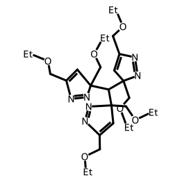 CCOCC1=CC(COCC)(C(C2(COCC)C=C(COCC)N=N2)C2(COCC)C=C(COCC)N=N2)N=N1